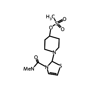 CNC(=O)N1C=CSC1N1CCC(OS(C)(=O)=O)CC1